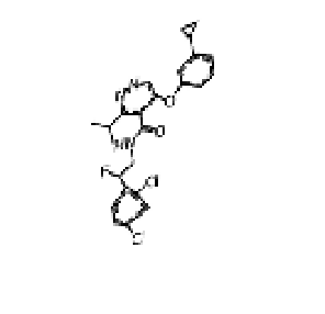 CC(C)c1nncc(Oc2cccc(C3CC3)c2)c1C(=O)NCC(F)c1ccc(Cl)cc1Cl